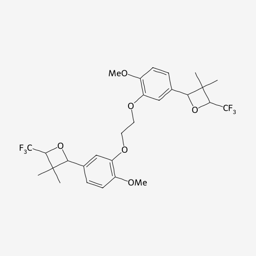 COc1ccc(C2OC(C(F)(F)F)C2(C)C)cc1OCCOc1cc(C2OC(C(F)(F)F)C2(C)C)ccc1OC